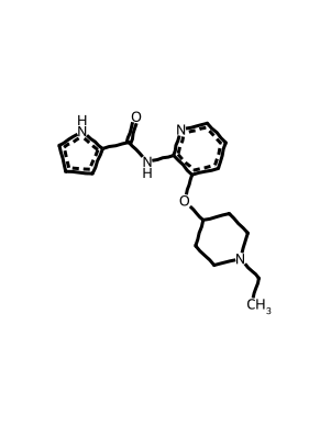 CCN1CCC(Oc2cccnc2NC(=O)c2ccc[nH]2)CC1